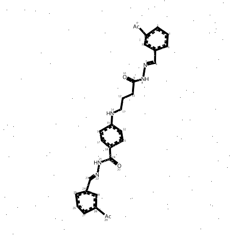 CC(=O)c1cccc(C=NNC(=O)CCCNc2ccc(C(=O)NN=Cc3cccc(C(C)=O)c3)cc2)c1